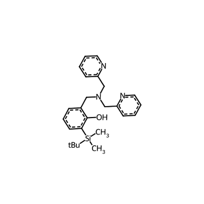 CC(C)(C)[Si](C)(C)c1cccc(CN(Cc2ccccn2)Cc2ccccn2)c1O